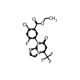 CCOC(=O)c1cc(-n2c(=O)cc(C(F)(F)F)n3ccnc23)c(F)cc1Cl